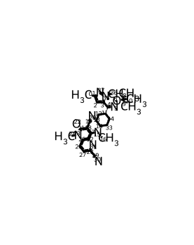 Cc1cc(/C(=N\OC(C)(C)C)[C@H]2CC[C@@H](N(C)c3c(C#N)c(=O)n(C)c4ccc(C#N)nc34)CC2)n(C)n1